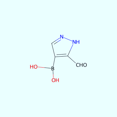 O=Cc1[nH]ncc1B(O)O